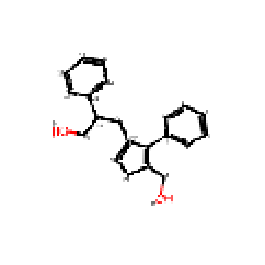 OCC1=C(c2ccccc2)C(CC(CO)c2ccccc2)=CC1